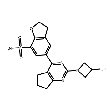 NS(=O)(=O)c1cc(-c2nc(N3CC(O)C3)nc3c2CCC3)cc2c1OCC2